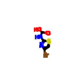 O=C(O)Nc1nc(Br)cs1